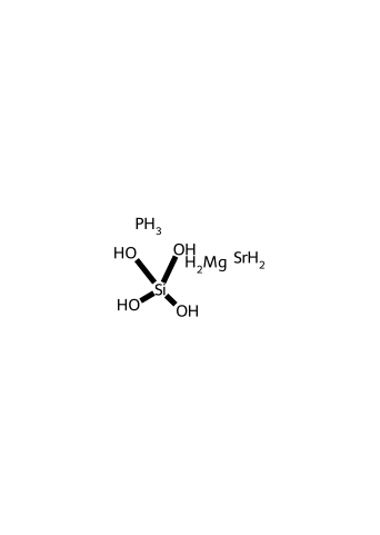 O[Si](O)(O)O.P.[MgH2].[SrH2]